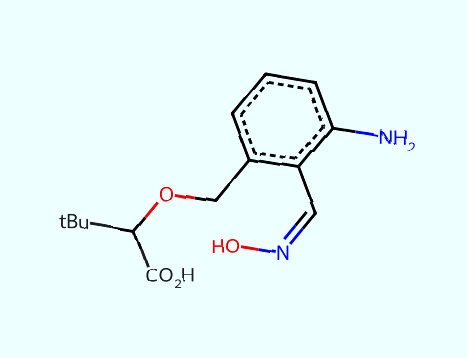 CC(C)(C)C(OCc1cccc(N)c1/C=N\O)C(=O)O